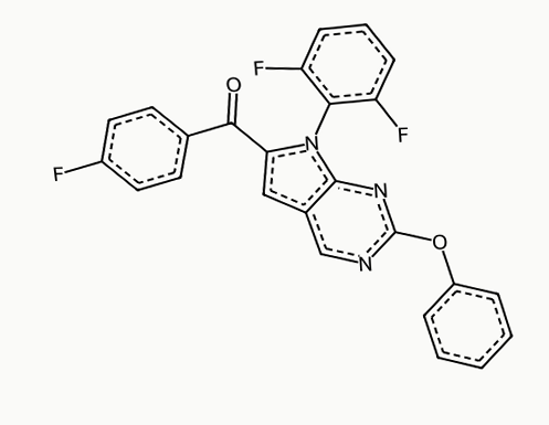 O=C(c1ccc(F)cc1)c1cc2cnc(Oc3ccccc3)nc2n1-c1c(F)cccc1F